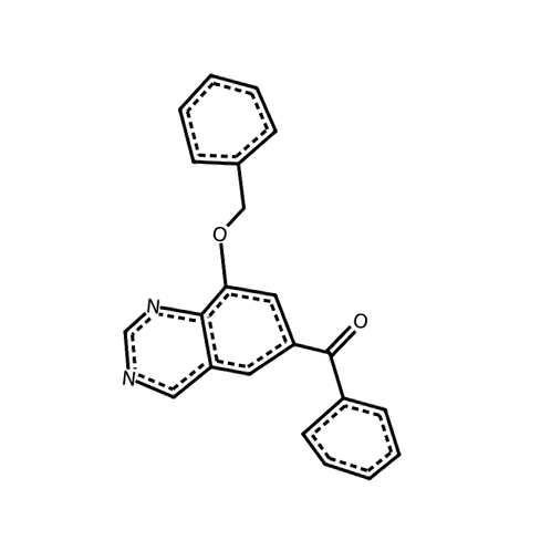 O=C(c1ccccc1)c1cc(OCc2ccccc2)c2ncncc2c1